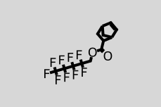 O=C(OCC(F)(F)C(F)(F)C(F)(F)C(F)(F)F)C1CC2C=CC1C2